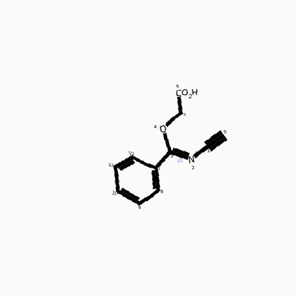 C#C/N=C(\OCC(=O)O)c1ccccc1